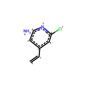 C=Cc1ccnc(Cl)c1.N